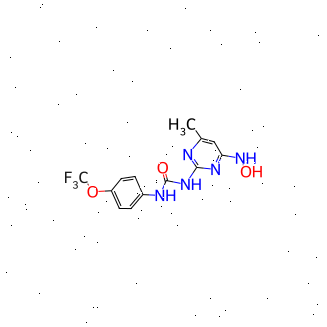 Cc1cc(NO)nc(NC(=O)Nc2ccc(OC(F)(F)F)cc2)n1